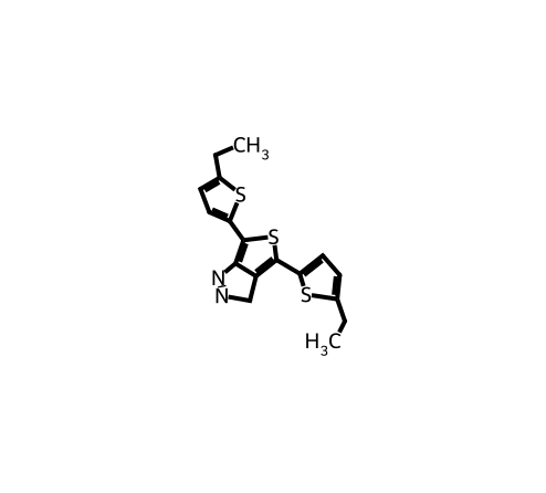 CCc1ccc(-c2sc(-c3ccc(CC)s3)c3c2CN=N3)s1